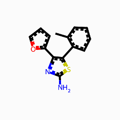 Cc1ccccc1-c1sc(N)nc1-c1ccco1